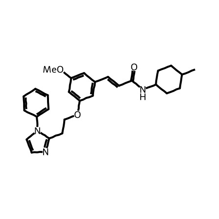 COc1cc(/C=C/C(=O)NC2CCC(C)CC2)cc(OCCc2nccn2-c2ccccc2)c1